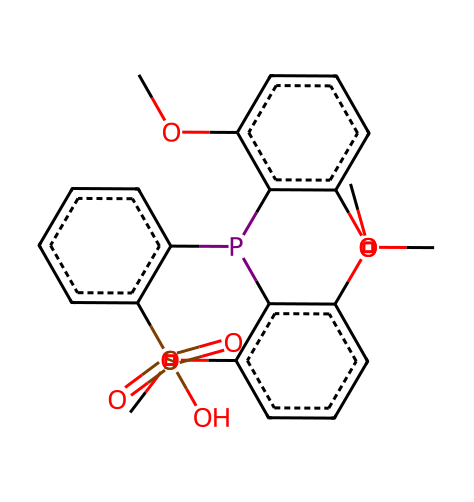 COc1cccc(OC)c1P(c1ccccc1S(=O)(=O)O)c1c(OC)cccc1OC